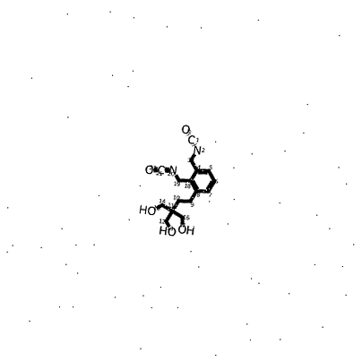 O=C=NCc1cccc(CCC(CO)(CO)CO)c1CN=C=O